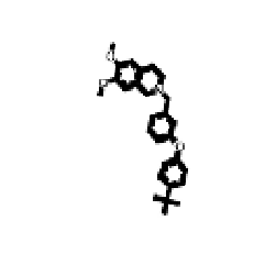 COc1cc2c(cc1OC)CN(Cc1cccc(Oc3ccc(C(C)(C)C)cc3)c1)CC2